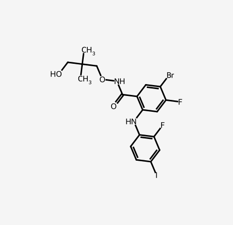 CC(C)(CO)CONC(=O)c1cc(Br)c(F)cc1Nc1ccc(I)cc1F